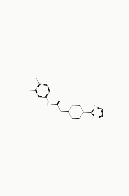 O=C(CC1CCC(c2nccs2)CC1)Nc1ccc(Cl)c(F)c1